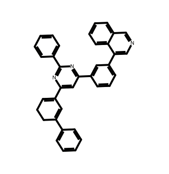 C1=C(c2ccccc2)CCC=C1c1cc(-c2cccc(-c3cncc4ccccc34)c2)nc(-c2ccccc2)n1